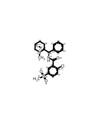 CN1CC2CCC1([C@H](NC(=O)c1cc(S(C)(=O)=O)ccc1Cl)c1ccccc1)CC2